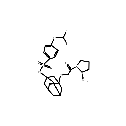 N[C@@H]1CCCN1C(=O)CNC12CC3CC(C1)CC(NS(=O)(=O)c1ccc(OC(F)F)cc1)(C3)C2